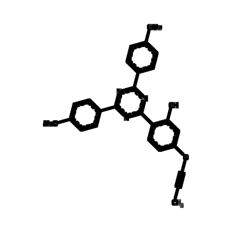 CC#COc1ccc(-c2nc(-c3ccc(OC)cc3)nc(-c3ccc(OC)cc3)n2)c(O)c1